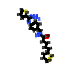 NC(=Nc1ccc(CNC(=O)CCCCC2CCCSS2)cc1)c1cccs1